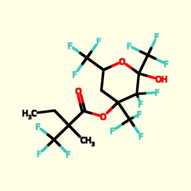 CCC(C)(C(=O)OC1(C(F)(F)F)CC(C(F)(F)F)OC(O)(C(F)(F)F)C1(F)F)C(F)(F)F